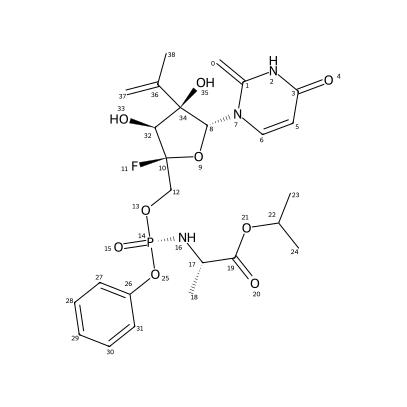 C=C1NC(=O)C=CN1[C@@H]1O[C@](F)(CO[P@@](=O)(N[C@@H](C)C(=O)OC(C)C)Oc2ccccc2)[C@@H](O)[C@]1(O)C(=C)C